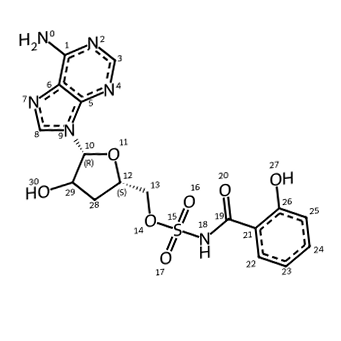 Nc1ncnc2c1ncn2[C@@H]1O[C@H](COS(=O)(=O)NC(=O)c2ccccc2O)CC1O